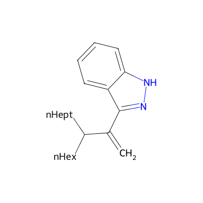 C=C(c1n[nH]c2ccccc12)C(CCCCCC)CCCCCCC